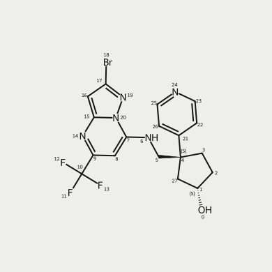 O[C@H]1CC[C@@](CNc2cc(C(F)(F)F)nc3cc(Br)nn23)(c2ccncc2)C1